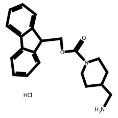 Cl.NCC1CCN(C(=O)OCC2c3ccccc3-c3ccccc32)CC1